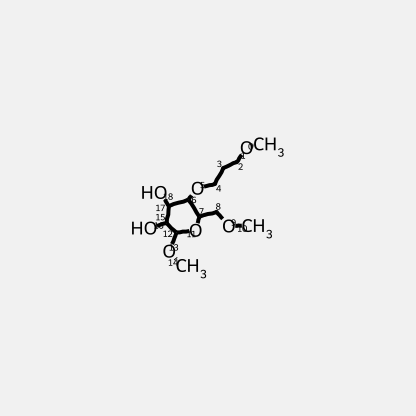 COCCCOC1C(COC)OC(OC)C(O)C1O